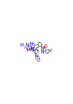 Cc1c(-c2cnc(C(N)=O)c3[nH]c4cc(N5CCOCC5)ccc4c23)cccc1-n1cnc2ccc(F)cc2c1=O